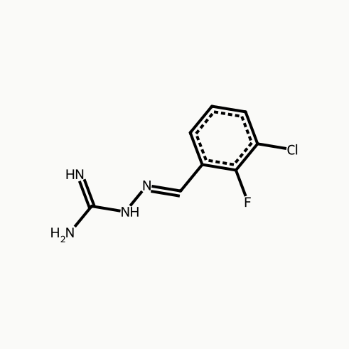 N=C(N)N/N=C/c1cccc(Cl)c1F